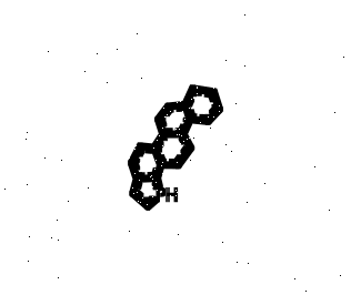 c1ccc2c(c1)ccc1c2ccc2c1ccc1cc[pH]c12